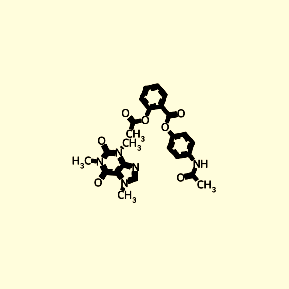 CC(=O)Nc1ccc(OC(=O)c2ccccc2OC(C)=O)cc1.Cn1c(=O)c2c(ncn2C)n(C)c1=O